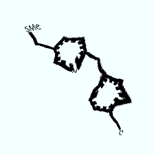 CSCc1ccc(Cc2ccc(Cl)cc2)nc1